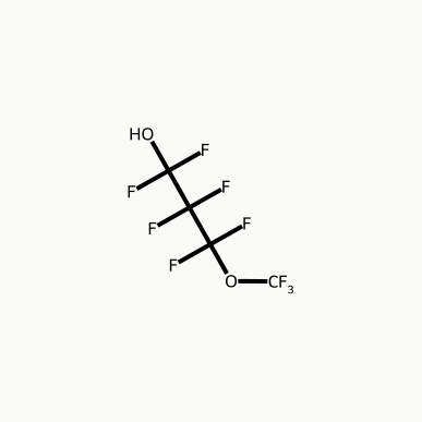 OC(F)(F)C(F)(F)C(F)(F)OC(F)(F)F